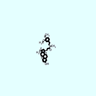 COc1ccc(CCN(C)C(=O)CC[C@@H]2CC(F)(F)[C@@]3(C)CC[C@@H]4c5ccc(O)cc5CC[C@H]4[C@H]23)cc1OC